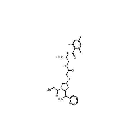 Cc1cc(C)c(C(=O)NC(CNC(=O)COC2CC(C(N)c3ccccn3)N(C(=O)CC(C)(C)C)C2)C(=O)O)c(C)c1